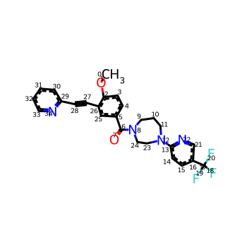 COc1ccc(C(=O)N2CCCN(c3ccc(C(F)(F)F)cn3)CC2)cc1C#Cc1ccccn1